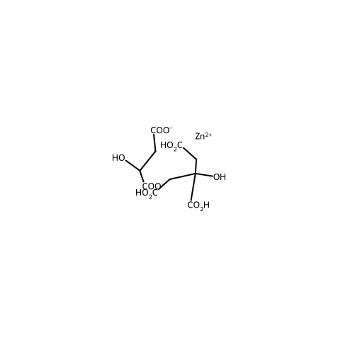 O=C(O)CC(O)(CC(=O)O)C(=O)O.O=C([O-])CC(O)C(=O)[O-].[Zn+2]